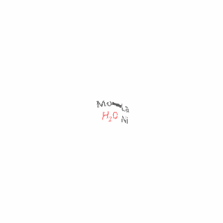 O.[Mo][La].[Ni]